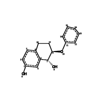 Oc1ccc2c(c1)[C@@H](O)[C@H](Oc1ccccc1)CC2